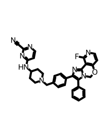 N#Cc1nccc(NC2CCN(Cc3ccc(-c4nc5n(c4-c4ccccc4)COc4ccnc(F)c4-5)cc3)CC2)n1